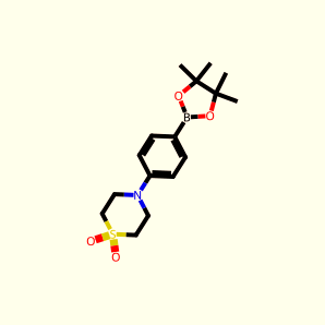 CC1(C)OB(c2ccc(N3CCS(=O)(=O)CC3)cc2)OC1(C)C